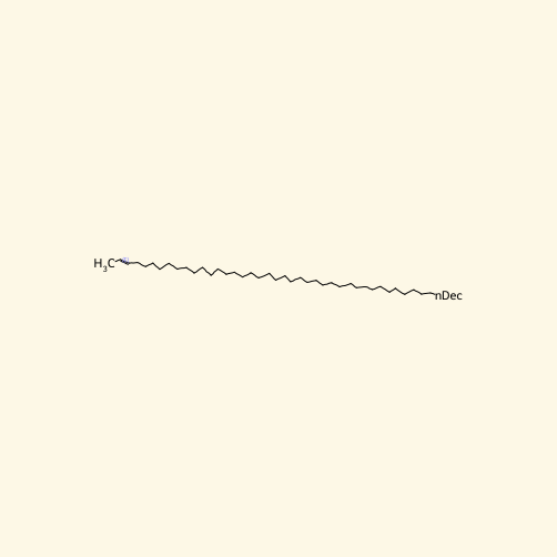 C/C=C/CCCCCCCCCCCCCCCCCCCCCCCCCCCCCCCCCCCCCCCCCCCCCCC